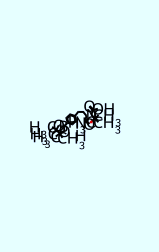 CC(C)(C)N(C(=O)O)C1CCc2ccc(B3OC(C)(C)C(C)(C)O3)cc2NC1=O